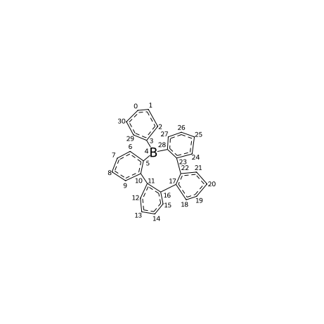 c1ccc(B2c3ccccc3-c3ccccc3-c3ccccc3-c3ccccc32)cc1